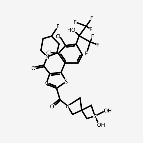 O=C(c1nc(C(=O)N2CCC(F)CC2)c(-c2ccc(C(O)(C(F)(F)F)C(F)(F)F)c(Cl)c2Cl)s1)N1CC2(C1)CS(O)(O)C2